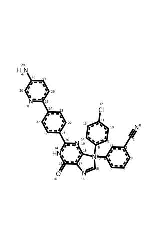 N#Cc1cccc([N+]2(c3ccc(Cl)cc3)C=Nc3c2nc(-c2ccc(-c4ccc(N)cn4)cc2)[nH]c3=O)c1